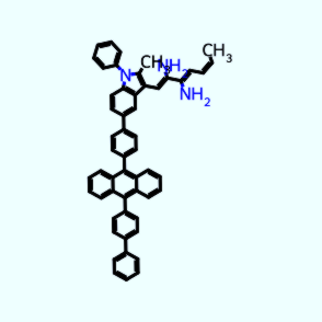 C\C=C/C=C(N)/C(N)=C/c1c(C)n(-c2ccccc2)c2ccc(-c3ccc(-c4c5ccccc5c(-c5ccc(-c6ccccc6)cc5)c5ccccc45)cc3)cc12